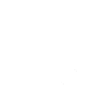 Clc1cc(Cl)nc(-c2ccc(OCc3ccccc3)cc2)n1